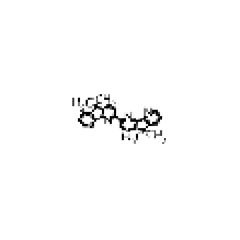 CC1(C)c2ccccc2-c2nc(-c3ccc4c(n3)-c3ncccc3C4(C)C)ccc21